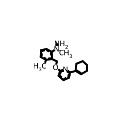 Cc1cccc(N(C)N)c1COc1cccc(C2=CCCCC2)n1